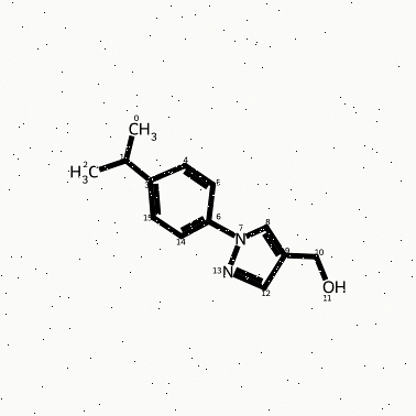 CC(C)c1ccc(-n2cc(CO)cn2)cc1